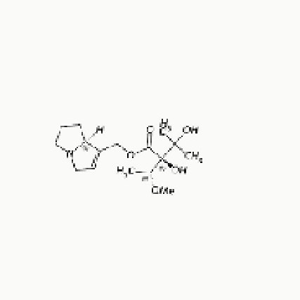 CO[C@H](C)[C@](O)(C(=O)OCC1=CCN2CCC[C@@H]12)C(C)(C)O